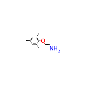 Cc1cc(C)c(OCCN)c(C)c1